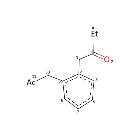 CCC(=O)Cc1ccccc1CC(C)=O